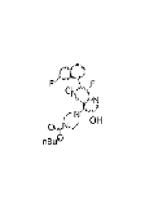 CCCCOC(=O)N1CCN(c2c(O)cnc3c(F)c(-c4cccc5ccc(F)c(Cl)c45)ncc23)CC1